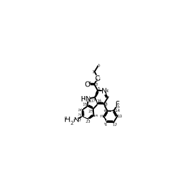 CCOC(=O)c1ncc(-c2ccccc2F)c2c1[nH]c1cc(N)ccc12